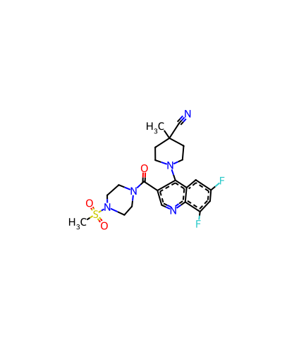 CC1(C#N)CCN(c2c(C(=O)N3CCN(S(C)(=O)=O)CC3)cnc3c(F)cc(F)cc23)CC1